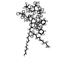 CCCCCCCCCCC[C@H](CC(=O)O[C@@H]1[C@H](NC(=O)OCC(Cl)(Cl)Cl)[C@H](OC[C@H](CCC(=O)O)NC(=O)OC(C)(C)C)O[C@H](COC(=O)OC(C)(C)C(Cl)(Cl)Cl)[C@H]1OP(=O)(Oc1ccccc1)Oc1ccccc1)OC(=O)CCCCCCCCC